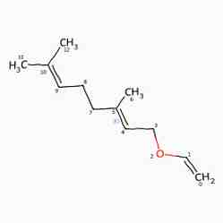 C=COC/C=C(\C)CCC=C(C)C